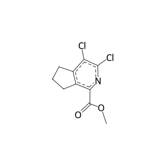 COC(=O)c1nc(Cl)c(Cl)c2c1CCC2